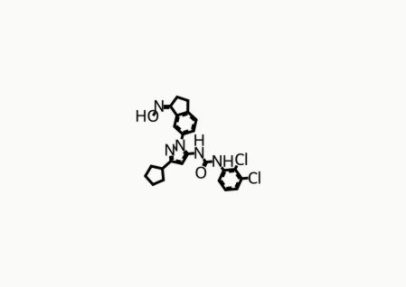 O=C(Nc1cccc(Cl)c1Cl)Nc1cc(C2CCCC2)nn1-c1ccc2c(c1)/C(=N\O)CC2